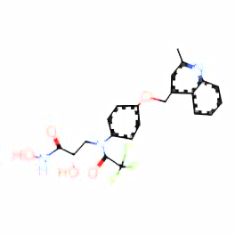 Cc1cc(COc2ccc(N(C[C@H](O)C(=O)NO)C(=O)C(F)(F)F)cc2)c2ccccc2n1